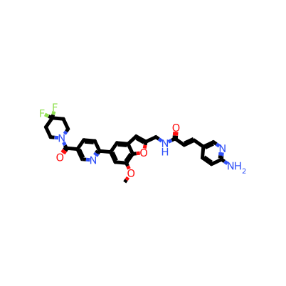 COc1cc(-c2ccc(C(=O)N3CCC(F)(F)CC3)cn2)cc2cc(CNC(=O)C=Cc3ccc(N)nc3)oc12